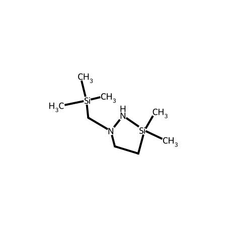 C[Si](C)(C)CN1CC[Si](C)(C)N1